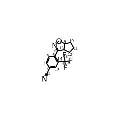 N#Cc1ccc(C2=NOC3CCCC23)c(C(F)(F)F)c1